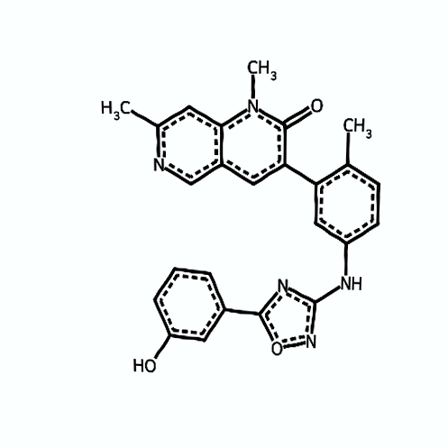 Cc1cc2c(cn1)cc(-c1cc(Nc3noc(-c4cccc(O)c4)n3)ccc1C)c(=O)n2C